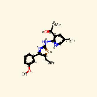 CCOc1cccc(-c2nc(Nc3ncc(C(F)(F)F)cc3C(=O)OC)sc2CC(C)C)c1